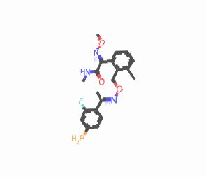 CNC(=O)/C(=N/OC)c1cccc(C)c1CO/N=C(\C)c1ccc(P)cc1F